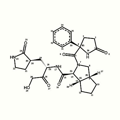 O=C1CC[C@](C(=O)N2C[C@@H]3CCC[C@@H]3[C@H]2C(=O)N[C@@H](C[C@H]2CCNC2=O)C(=O)CO)(c2ccccc2)N1